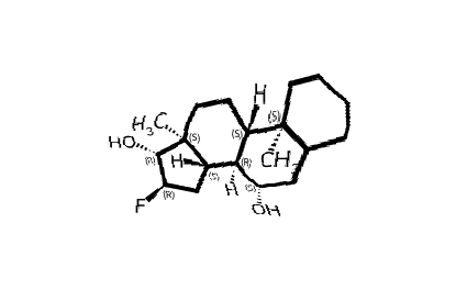 C[C@]12CC[C@H]3[C@@H]([C@@H](O)CC4CCCC[C@@]43C)[C@@H]1C[C@@H](F)[C@@H]2O